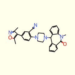 Cc1noc(C)c1-c1ccc(N2CCN(C3c4ccccc4C(=O)N(C)c4ccccc43)CC2)c(C#N)c1